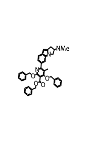 CNC1Cc2cc3ccc(-c4nc(OCc5ccccc5)c(C(=O)OCc5ccccc5)c(OCc5ccccc5)c4C)cc3n2C1